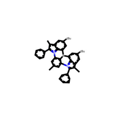 Cc1cc2c3c(c1)-n1c(-c4ccccc4)c(C)c4cc(C(C)(C)C)cc(c41)B3c1cc(C(C)(C)C)cc3c(C)c(-c4ccccc4)n-2c13